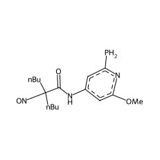 CCCCC(CCCC)(N=O)C(=O)Nc1cc(P)nc(OC)c1